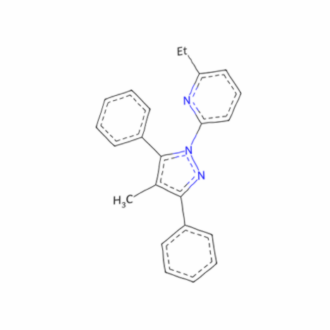 CCc1cccc(-n2nc(-c3ccccc3)c(C)c2-c2ccccc2)n1